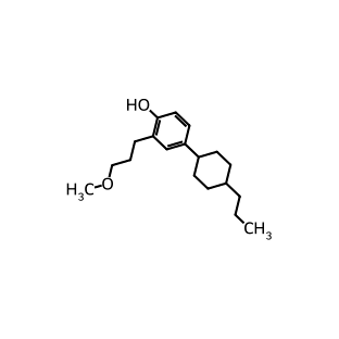 CCCC1CCC(c2ccc(O)c(CCCOC)c2)CC1